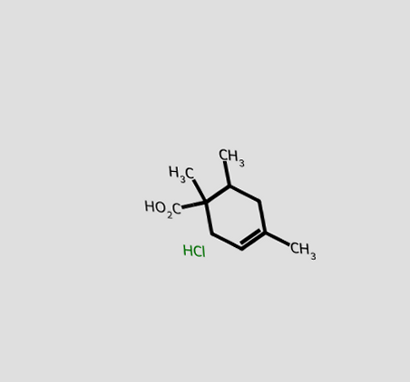 CC1=CCC(C)(C(=O)O)C(C)C1.Cl